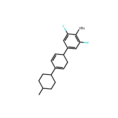 CCCCc1c(F)cc(C2C=CC(C3CCC(C)CC3)=CC2)cc1F